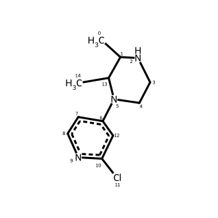 CC1NCCN(c2ccnc(Cl)c2)C1C